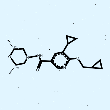 C[C@@H]1CN(NC(=O)c2cnc(OCC3CC3)c(C3CC3)c2)C[C@H](C)O1